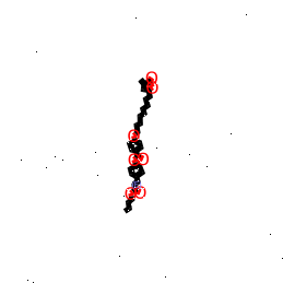 C=C1CC(CCCCCCCCCOc2ccc(C(=O)Oc3ccc(/C=C/C(=O)OCCCC)cc3)cc2)OC1=O